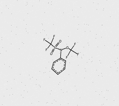 O=S(=O)(N(OC(F)(F)F)c1ccccc1)C(F)(F)F